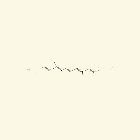 CC(/C=C/C(=O)O)=C\C=C\C=C(C)\C=C\C(=O)O